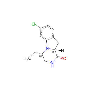 CC[C@H]1CNC(=O)[C@H]2Cc3ccc(Cl)cc3N12